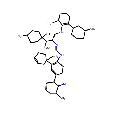 CNC([C@@H](CNC1=C(C2CCCC(C)C2)CCCC1C)/N=C/NC1=C(C2(C)CC=CCC2)C=C(C2C=CCC(C)C2N)CC1)C1(C)CCC(C)CC1